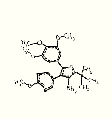 COc1ccc(-c2c(-c3cc(OC)c(OC)c(OC)c3)nn(C(C)(C)C)c2N)cc1